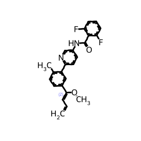 C=C/C=C(\OC)c1ccc(C)c(-c2ccc(NC(=O)c3c(F)cccc3F)cn2)c1